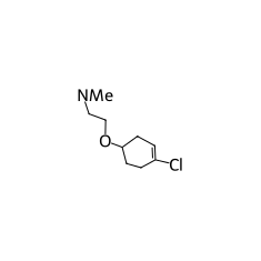 CNCCOC1CC=C(Cl)CC1